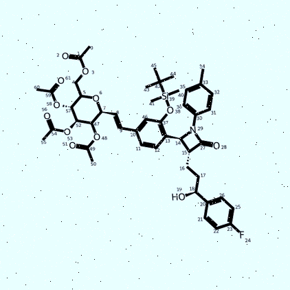 CC(=O)OCC1O[C@@H](/C=C/c2ccc([C@@H]3[C@@H](CC[C@H](O)c4ccc(F)cc4)C(=O)N3c3ccc(C)cc3)c(O[Si](C)(C)C(C)(C)C)c2)C(OC(C)=O)[C@@H](OC(C)=O)[C@@H]1OC(C)=O